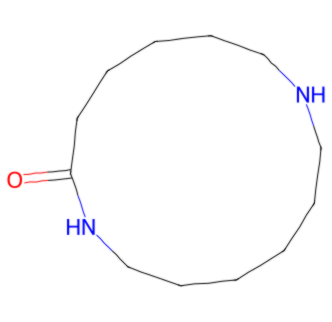 O=C1CCCCCNCCCCCCN1